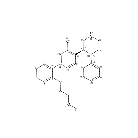 COCCCc1ccccc1-c1ccc([C@H]2CNCC[C@@H]2c2cccnc2)c(Cl)c1